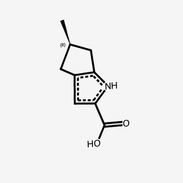 C[C@@H]1Cc2cc(C(=O)O)[nH]c2C1